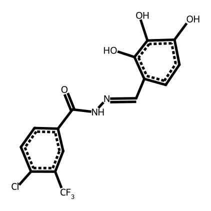 O=C(NN=Cc1ccc(O)c(O)c1O)c1ccc(Cl)c(C(F)(F)F)c1